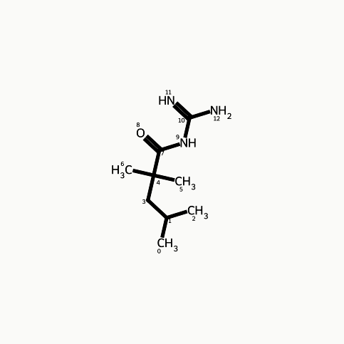 CC(C)CC(C)(C)C(=O)NC(=N)N